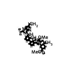 C=Cc1cnc2c(Nc3cccc(-c4cccc(-c5cnc(CN(C)C6CCC(C(=O)OC)CC6)c(OC)n5)c4Cl)c3C)nc(C(F)F)nc2c1